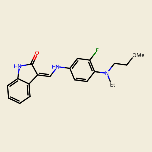 CCN(CCOC)c1ccc(NC=C2C(=O)Nc3ccccc32)cc1F